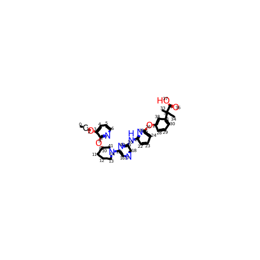 CCOc1cccnc1O[C@@H]1CCCN(c2cncc(Nc3cccc(Oc4cccc(C(C)(C)C(=O)O)c4)n3)n2)C1